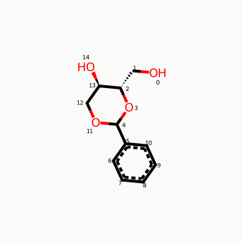 OC[C@@H]1OC(c2ccccc2)OC[C@H]1O